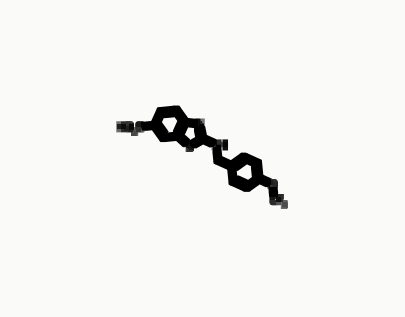 O=C(O)c1ccc2nc(NCc3ccc(OC(F)(F)F)cc3)sc2c1